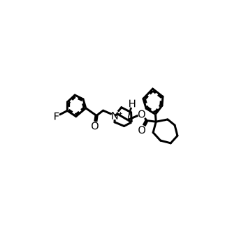 O=C(C[N+]12CCC(CC1)[C@@H](OC(=O)C1(c3ccccc3)CCCCCC1)C2)c1cccc(F)c1